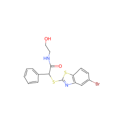 O=C(NCCO)C(Sc1nc2cc(Br)ccc2s1)c1ccccc1